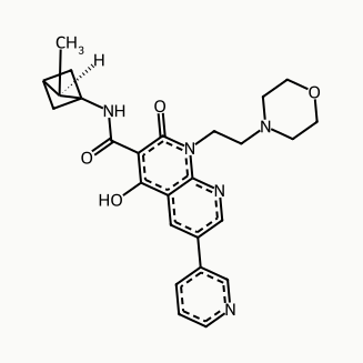 C[C@@H]1C2CC1(NC(=O)c1c(O)c3cc(-c4cccnc4)cnc3n(CCN3CCOCC3)c1=O)C2